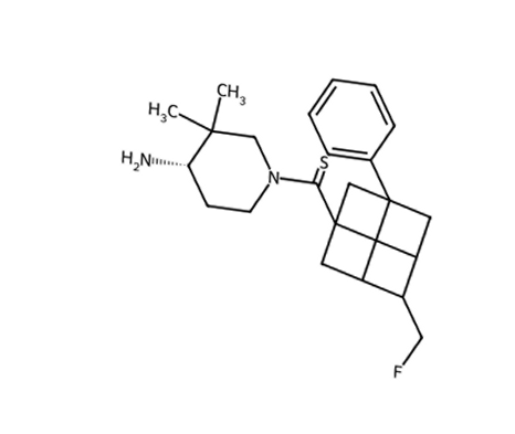 CC1(C)CN(C(=S)C23CC4C(CF)C5CC(c6ccccc6)(C2)C453)CC[C@@H]1N